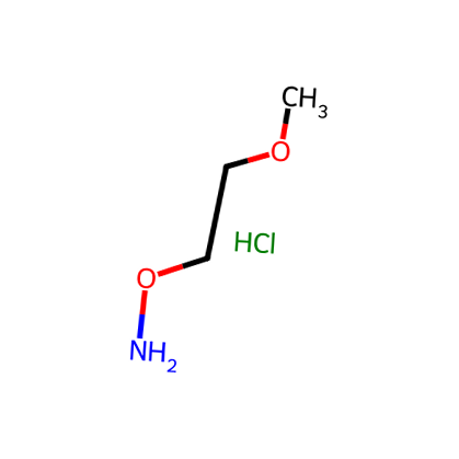 COCCON.Cl